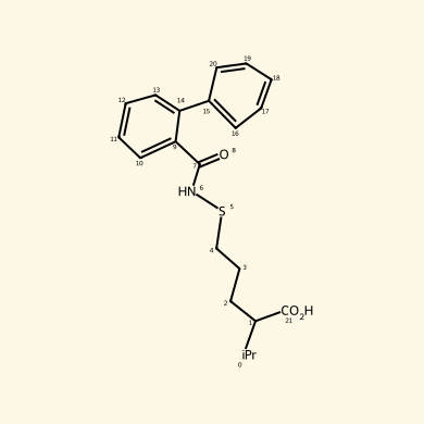 CC(C)C(CCCSNC(=O)c1ccccc1-c1ccccc1)C(=O)O